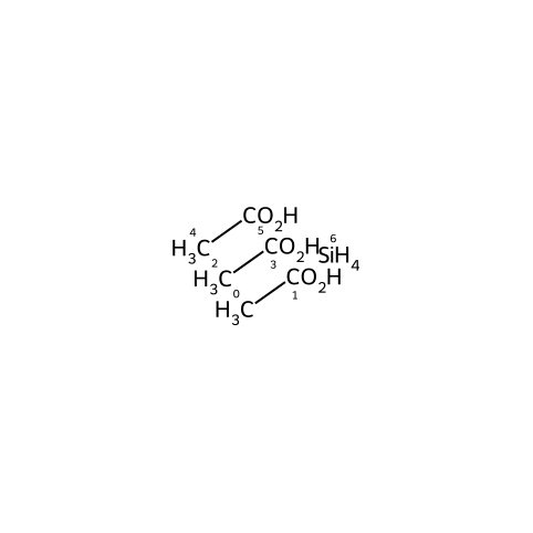 CC(=O)O.CC(=O)O.CC(=O)O.[SiH4]